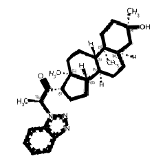 C[C@@H](C(=O)[C@H]1CC[C@H]2[C@@H]3CC[C@@H]4C[C@](C)(O)CC[C@]4(C)[C@H]3CC[C@]12C)n1nnc2ccccc21